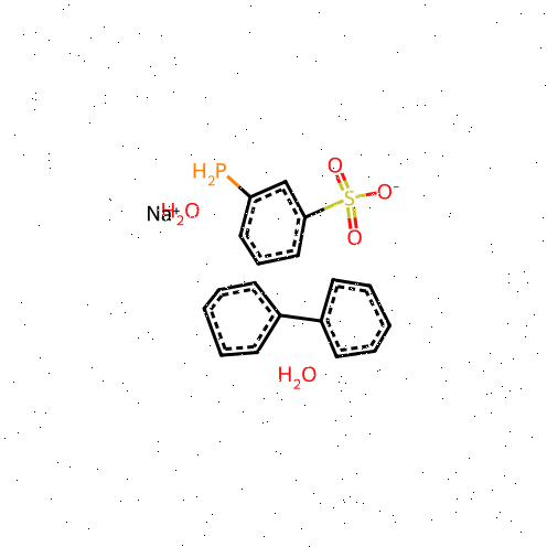 O.O.O=S(=O)([O-])c1cccc(P)c1.[Na+].c1ccc(-c2ccccc2)cc1